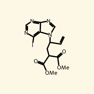 C=CC(CC(C(=O)OC)C(=O)OC)n1cnc2ncnc(I)c21